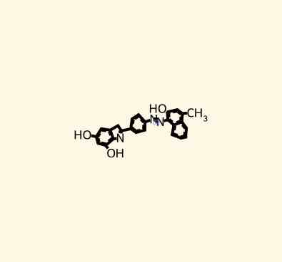 Cc1cc(O)c(/N=N/c2ccc(C3=Nc4c(O)cc(O)cc4C3)cc2)c2ccccc12